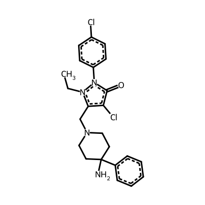 CCn1c(CN2CCC(N)(c3ccccc3)CC2)c(Cl)c(=O)n1-c1ccc(Cl)cc1